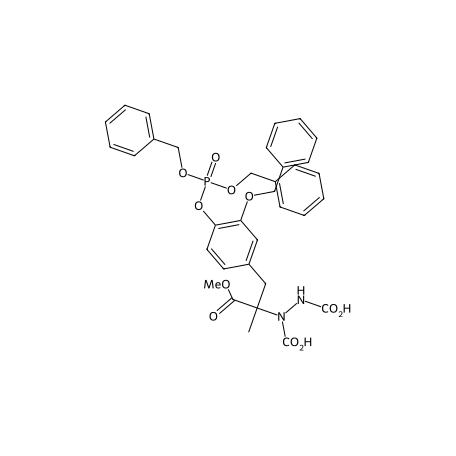 COC(=O)C(C)(Cc1ccc(OP(=O)(OCc2ccccc2)OCc2ccccc2)c(OCc2ccccc2)c1)N(NC(=O)O)C(=O)O